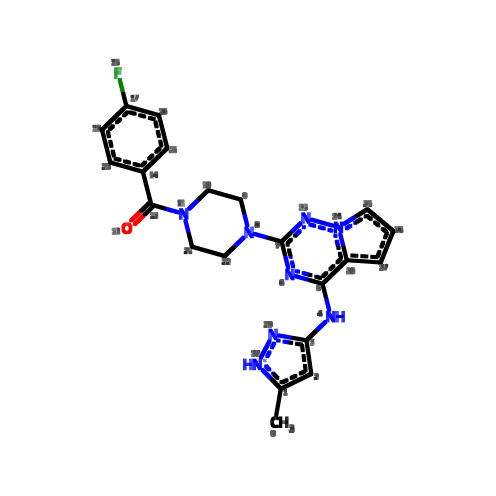 Cc1cc(Nc2nc(N3CCN(C(=O)c4ccc(F)cc4)CC3)nn3cccc23)n[nH]1